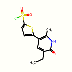 CCc1cc(-c2ccc(S(=O)(=O)Cl)s2)c(C)[nH]c1=O